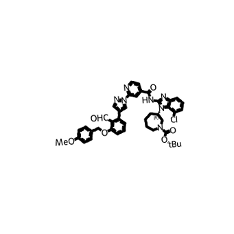 COc1ccc(COc2cccc(-c3cnn(-c4cc(C(=O)Nc5nc6cccc(Cl)c6n5[C@@H]5CCCCN(C(=O)OC(C)(C)C)C5)ccn4)c3)c2C=O)cc1